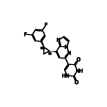 O=c1[nH]cc(-c2cc([C@@H]3C[C@H]3c3cc(F)cc(F)c3)c3nccn3n2)c(=O)[nH]1